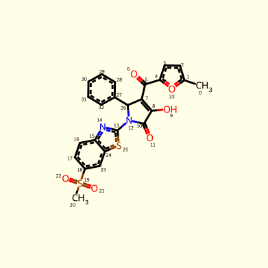 Cc1ccc(C(=O)C2=C(O)C(=O)N(c3nc4ccc(S(C)(=O)=O)cc4s3)C2c2ccccc2)o1